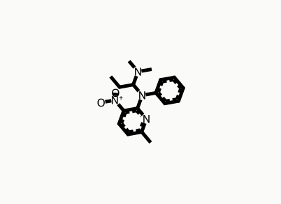 CCC(N(C)C)N(c1ccccc1)c1nc(C)ccc1[N+](=O)[O-]